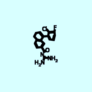 NC(N)=NC(=O)c1ccc2c(c1)C(c1cccc(F)c1Cl)=CCC2